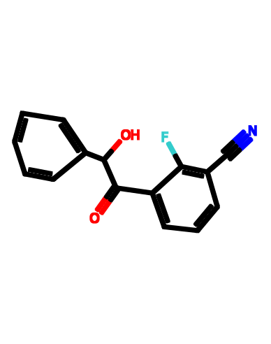 N#Cc1cccc(C(=O)C(O)c2ccccc2)c1F